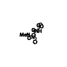 CNC(=O)c1cc(C(=O)NCCC2OCCCO2)cc(Cc2ccccc2)n1